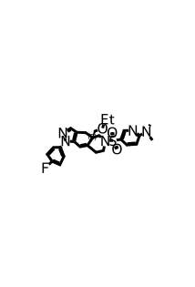 CCOC[C@]12Cc3cnn(-c4ccc(F)cc4)c3C=C1CCN(S(=O)(=O)c1ccc(N(C)C)nc1)C2